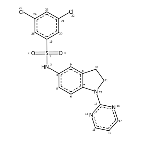 O=S(=O)(Nc1ccc2c(c1)CCN2c1ncccn1)c1cc(Cl)cc(Cl)c1